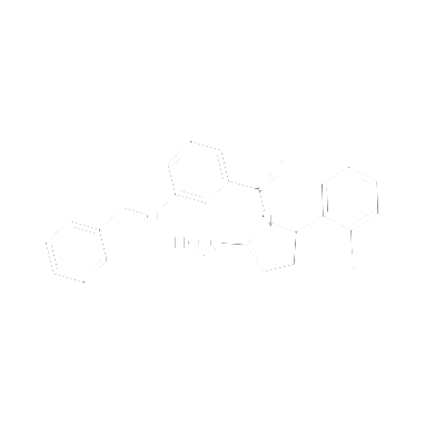 O=C(O)C1CCC(c2ccccc2Cl)N1C(=O)c1cccc(OCc2ccccc2)c1